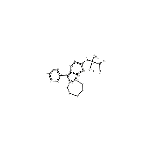 CC(C)(Oc1ccc2c(-c3ccncc3)c3n(c2c1)CCCCC3)C(=O)O